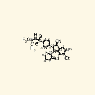 CCc1cc2c(cc1F)c(C#N)c(-c1ccc(S(=O)(=O)N[C@@H](C)C(F)(F)F)cn1)n2-c1ncccc1Cl